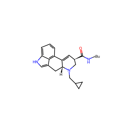 CCC(C)NC(=O)[C@@H]1C=C2c3cccc4[nH]cc(c34)C[C@H]2N(CC2CC2)C1